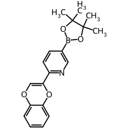 CC1(C)OB(c2ccc(C3=COc4ccccc4O3)nc2)OC1(C)C